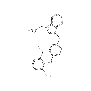 O=C(O)Cc1cn(Cc2ccc(Oc3c(CF)cccc3C(F)(F)F)cc2)c2ccccc12